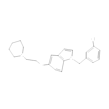 Clc1cccc(Cn2ccc3cc(OCCN4CCCCC4)ccc32)c1